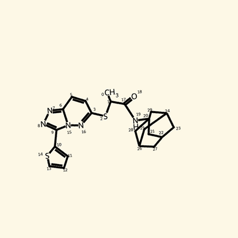 CC(Sc1ccc2nnc(-c3cccs3)n2n1)C(=O)NC12CC3CC(CC(C3)C1)C2